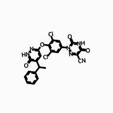 CC(c1ccccc1)c1cc(Oc2c(Cl)cc(-n3nc(C#N)c(=O)[nH]c3=O)cc2Cl)n[nH]c1=O